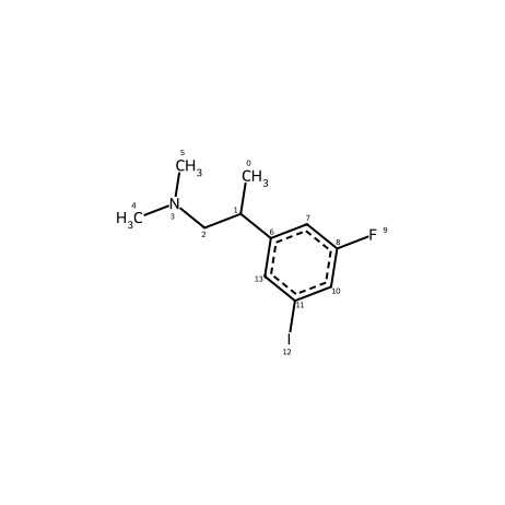 CC(CN(C)C)c1cc(F)cc(I)c1